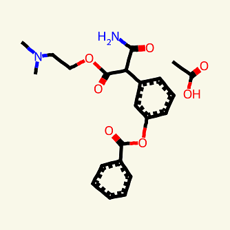 CC(=O)O.CN(C)CCOC(=O)C(C(N)=O)c1cccc(OC(=O)c2ccccc2)c1